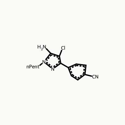 CCCCCn1nc(-c2ccc(C#N)cc2)c(Cl)c1N